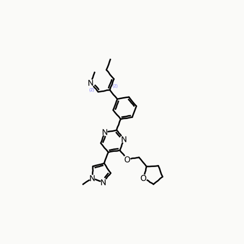 CC/C=C(\C=N/C)c1cccc(-c2ncc(-c3cnn(C)c3)c(OCC3CCCO3)n2)c1